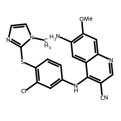 COc1cc2ncc(C#N)c(Nc3ccc(Sc4nccn4C)c(Cl)c3)c2cc1N